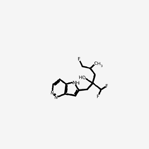 CC(CF)CC(O)(Cc1cc2nnccc2[nH]1)C(F)F